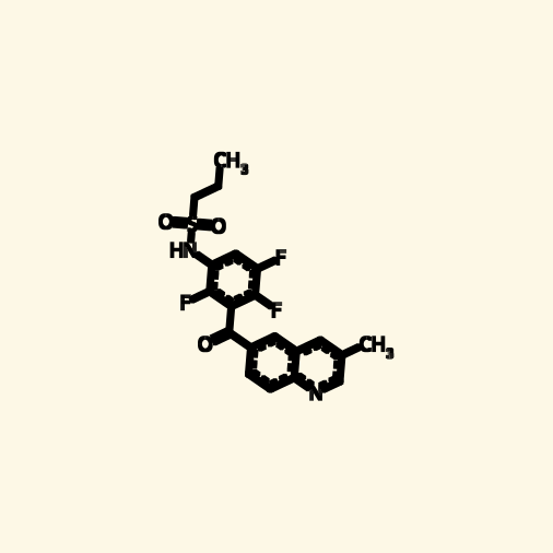 CCCS(=O)(=O)Nc1cc(F)c(F)c(C(=O)c2ccc3ncc(C)cc3c2)c1F